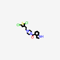 O=C(c1cccc2[nH]ccc12)N1CCN(CCc2cc(Cl)sc2Cl)CC1